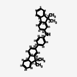 CC1(C)c2ccccc2-c2ccc(Nc3ccc(-c4ccc5c(c4)C(C)(C)c4ccccc4-5)cc3)cc21